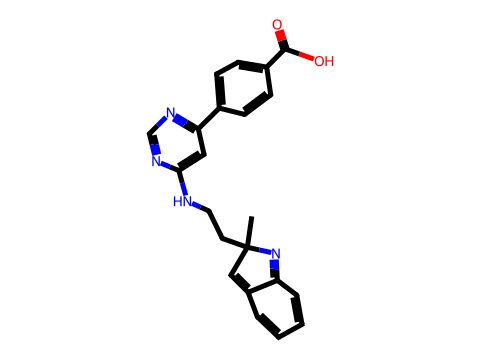 CC1(CCNc2cc(-c3ccc(C(=O)O)cc3)ncn2)C=c2ccccc2=N1